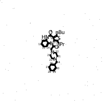 CCCCc1sc(C(C)C)c2c1C(=O)Nc1ccccc1N2C(=O)CN1CCN(Cc2ccccc2)CC1